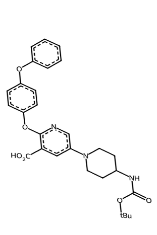 CC(C)(C)OC(=O)NC1CCN(c2cnc(Oc3ccc(Oc4ccccc4)cc3)c(C(=O)O)c2)CC1